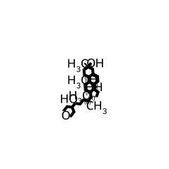 C[C@H](CCC(O)C1CCOCC1)[C@H]1CC[C@H]2[C@@H]3CC=C4C[C@@](C)(O)CC[C@]4(C)[C@H]3CC[C@]12C